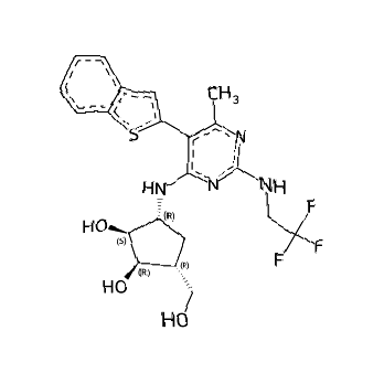 Cc1nc(NCC(F)(F)F)nc(N[C@@H]2C[C@H](CO)[C@@H](O)[C@H]2O)c1-c1cc2ccccc2s1